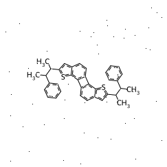 CC(c1ccccc1)C(C)c1cc2ccc3c(c2s1)-c1ccc2cc(C(C)C(C)c4ccccc4)sc2c1-3